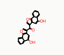 O=C(c1coc2c1cc(O)c1ccccc12)c1coc2c1cc(O)c1ccccc12